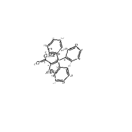 CCCCC(C(=O)OC)=P(c1ccccc1)(c1ccccc1)c1ccccc1